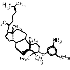 CC(C)=CCCC(C)C1CCC2C3CC=C4C(C)(C)C(Oc5cc(N)cc(N)c5)CCC4(C)C3CCC12C